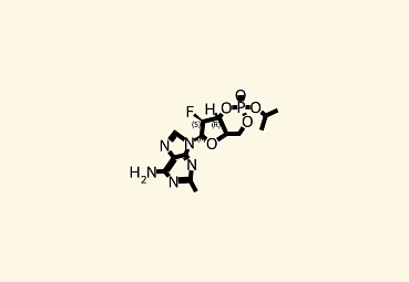 Cc1nc(N)c2ncn([C@@H]3OC4COP(=O)(OC(C)C)O[C@H]4[C@@H]3F)c2n1